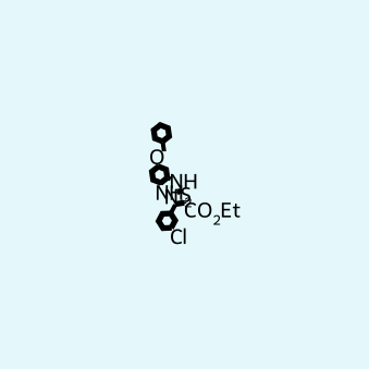 CCOC(=O)c1sc(Nc2cc(OCc3ccccc3)ccc2N)nc1-c1cccc(Cl)c1